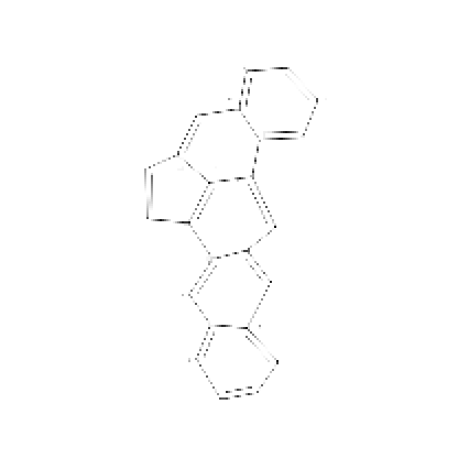 C1=Cc2c3cc4ccccc4cc3cc3c2c1cc1ccccc13